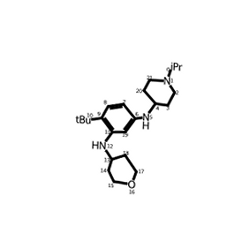 CC(C)N1CCC(Nc2ccc(C(C)(C)C)c(NC3CCOCC3)c2)CC1